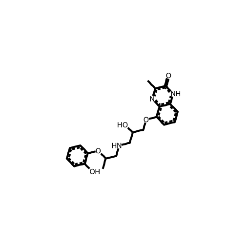 Cc1nc2c(OCC(O)CNCC(C)Oc3ccccc3O)cccc2[nH]c1=O